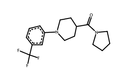 O=C(C1CCN(c2cccc(C(F)(F)F)c2)CC1)N1CCCC1